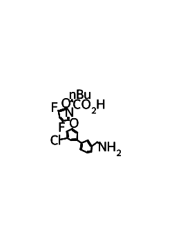 CCCCC(Oc1nc(Oc2cc(Cl)cc(-c3cccc(CN)c3)c2)c(F)cc1F)C(=O)O